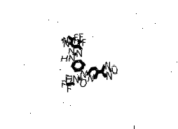 COc1ncc(-c2ccc(N(C(=O)NCC(F)(F)F)C3CCC(Nc4ncc(C(F)(F)F)c(-c5nn(C)cc5Cl)n4)CC3)nc2)cn1